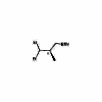 CCC(CC)[C@H](C)CNC